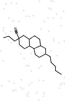 CCCCCC1CCC2C(CCC3CC(C#N)(CCC)CCC32)C1